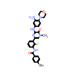 Cn1cc(-c2cccc(NC(=O)c3ccc(C(C)(C)C)cc3)c2F)nc(Nc2ccc(N3CCOCC3)c(N)c2)c1=O